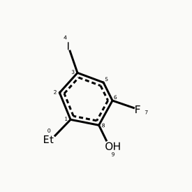 CCc1cc(I)cc(F)c1O